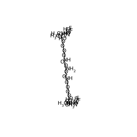 CC1(C)O[C@@H]2[C@H](O1)[C@@H](Nc1nccc(C(F)(F)F)n1)CO[C@@H]2COCCOCCOCCOCCNC(=O)CCOCC(N)COCCC(=O)NCCOCCOCCOCCOC[C@H]1OC[C@H](Nc2nccc(C(F)(F)F)n2)[C@H]2OC(C)(C)O[C@H]21